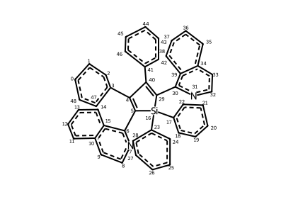 c1ccc(C2=C(c3nccc4ccccc34)[Si](c3ccccc3)(c3ccccc3)C(c3nccc4ccccc34)=C2c2ccccc2)cc1